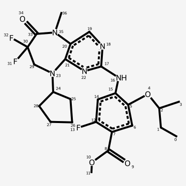 CCC(C)Oc1cc(C(=O)OC)c(F)cc1Nc1ncc2c(n1)N(C1CCCC1)CC(F)(F)C(=O)N2C